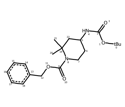 CC(C)(C)OC(=O)NC1CCN(C(=O)OCc2ccccc2)C(C)(C)C1